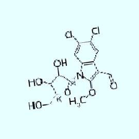 COc1c(C=O)c2cc(Cl)c(Cl)cc2n1[C@@H]1O[C@H](CO)C(O)C1O